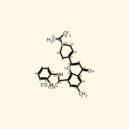 Cc1cc(C(C)Nc2ccccc2C(=O)O)c2oc(C3=CCN(C(C)C(F)(F)F)CC3)cc(=O)c2c1